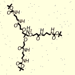 CC(C)(C)OC(=O)NCCCNC(=O)CCOCC(N)(COCCC(=O)NCCCNC(=O)OC(C)(C)C)COCCC(=O)NCCCNC(=O)OC(C)(C)C